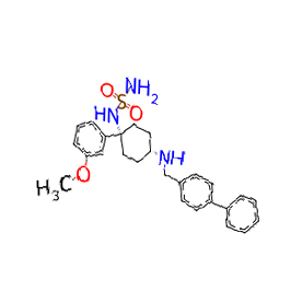 COc1cccc([C@]2(NS(N)(=O)=O)CC[C@@H](NCc3ccc(-c4ccccc4)cc3)CC2)c1